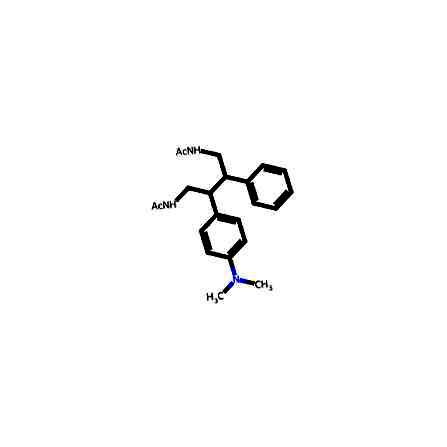 CC(=O)NCC(c1ccccc1)C(CNC(C)=O)c1ccc(N(C)C)cc1